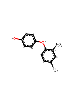 [O]c1ccc(Oc2ccc(C(F)(F)F)cc2[N+](=O)[O-])cc1